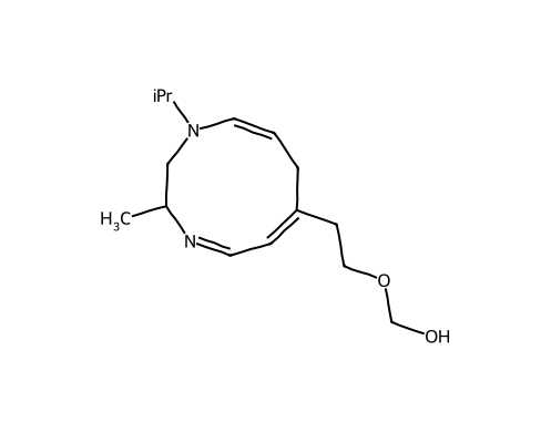 CC1CN(C(C)C)/C=C\C/C(CCOCO)=C\C=N/1